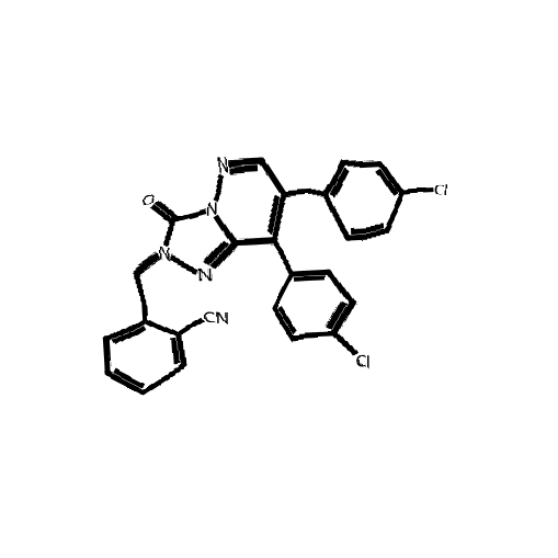 N#Cc1ccccc1Cn1nc2c(-c3ccc(Cl)cc3)c(-c3ccc(Cl)cc3)cnn2c1=O